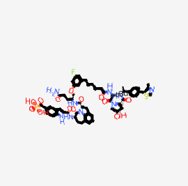 Cc1ncsc1-c1ccc([C@H](C)NC(=O)[C@@H]2C[C@@H](O)CN2C(=O)[C@@H](NC(=O)CCCCCc2cc(F)cc(OC[C@H](CCC(N)=O)NC(=O)[C@@H]3Cc4cccc5c4N3C(=O)[C@@H](NC(=O)c3cc4cc(C(=O)P(=O)(O)O)ccc4[nH]3)CC5)c2)C(C)(C)C)cc1